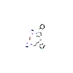 CCCCC(CCn1ccnc1OC(=O)C(=O)Oc1nccn1CCC(CCCC)Sc1ccc(Cl)cc1Cl)Sc1ccc(Cl)cc1Cl